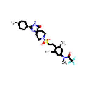 Cc1cc(N(C)C(=O)C(F)(F)F)cc(C)c1CCS(=O)(=O)N1CCC2(CC1)N=C([C@H]1CC[C@H](C)CC1)NC2=O